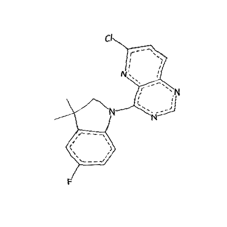 CC1(C)CN(c2ncnc3ccc(Cl)nc23)c2ccc(F)cc21